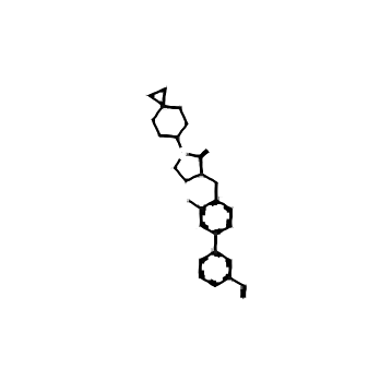 O=Cc1cccc(-c2ccc(CC3CCN(C4CCC5(CC4)CC5)C3=O)c(Cl)c2)c1